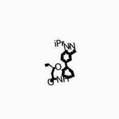 C=C[C@@H]1CC(=O)Nc2cccc(-c3ccc4c(cnn4C(C)C)c3)c2O1